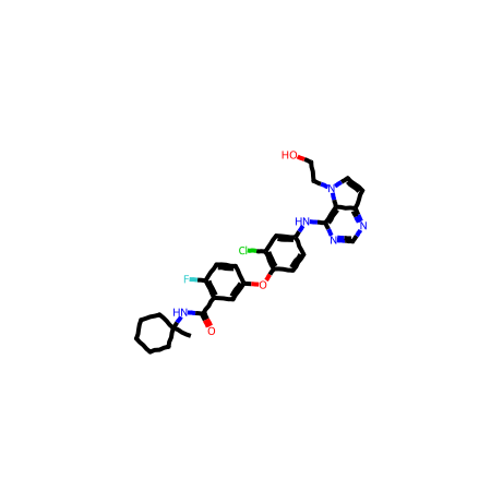 CC1(NC(=O)c2cc(Oc3ccc(Nc4ncnc5ccn(CCO)c45)cc3Cl)ccc2F)CCCCC1